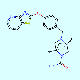 NC(=O)N1C[C@@H]2C[C@H]1CN2Cc1ccc(Oc2nc3ncccc3s2)cc1